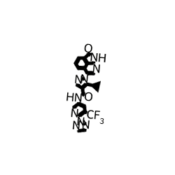 O=C(Nc1cnc(-n2nccn2)c(C(F)(F)F)c1)c1cnn(-c2cnc3c4c(cccc24)C(=O)N3)c1C1CC1